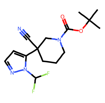 CC(C)(C)OC(=O)N1CCCC(C#N)(c2ccnn2C(F)F)C1